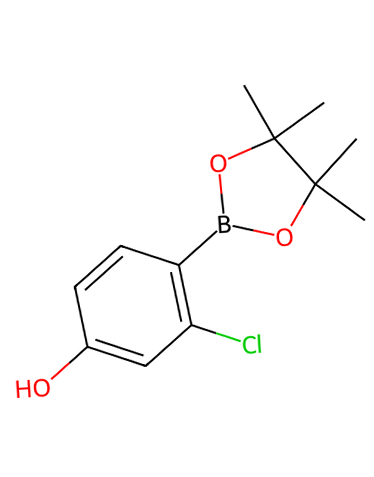 CC1(C)OB(c2ccc(O)cc2Cl)OC1(C)C